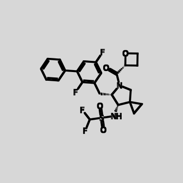 O=C([C@H]1CCO1)N1CC2(CC2)[C@H](NS(=O)(=O)C(F)F)[C@@H]1Cc1cc(F)cc(-c2ccccc2)c1F